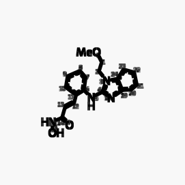 COCCn1c(Nc2ccccc2C=CC(=O)NO)nc2ccccc21